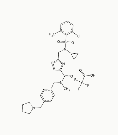 Cc1cccc(Cl)c1S(=O)(=O)N(Cc1nc(C(=O)N(C)Cc2ccc(CN3CCCC3)cc2)co1)C1CC1.O=C(O)C(F)(F)F